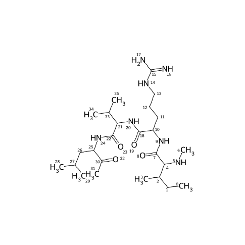 CCC(C)C(NC)C(=O)NC(CCCNC(=N)N)C(=O)NC(C(=O)NC(CC(C)C)C(C)=O)C(C)C